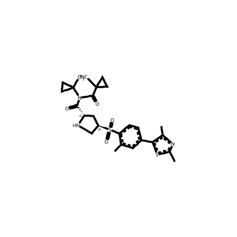 Cc1nc(C)c(-c2ccc(S(=O)(=O)[C@H]3CN[C@H](C(=O)N(C(=O)C4(C(F)(F)F)CC4)C4(C#N)CC4)C3)c(C)c2)s1